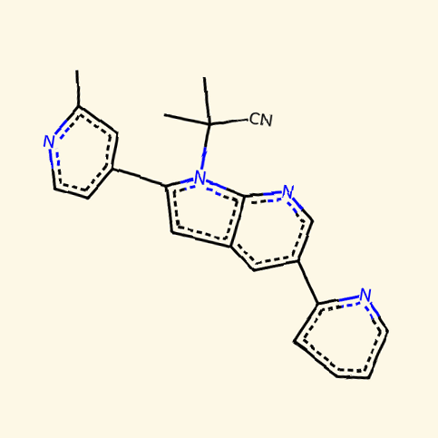 Cc1cc(-c2cc3cc(-c4ccccn4)cnc3n2C(C)(C)C#N)ccn1